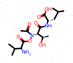 CC(=O)N(OC(=O)[C@@H](N)C(C)C)[C@H](C(=O)N[C@@H](CC(C)C)C(=O)O)[C@@H](C)O